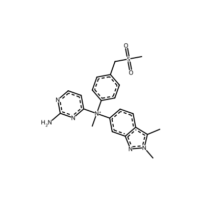 Cc1c2ccc([N+](C)(c3ccc(CS(C)(=O)=O)cc3)c3ccnc(N)n3)cc2nn1C